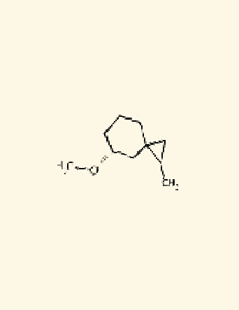 CO[C@@H]1CCCC2(CC2C)C1